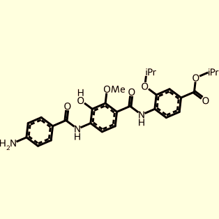 COc1c(C(=O)Nc2ccc(C(=O)OC(C)C)cc2OC(C)C)ccc(NC(=O)c2ccc(N)cc2)c1O